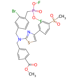 COC(=O)c1ccc(CN(Cc2ccc(CP(=O)(OF)OF)c(Br)c2)c2nc(-c3ccc(S(C)(=O)=O)cc3)cs2)cc1